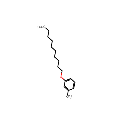 O=C(O)CCCCCCCCCOc1cccc(C(=O)O)c1